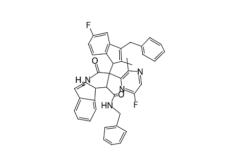 CC1=C(Cc2ccccc2)c2cc(F)ccc2C1C(C(N)=O)(c1nc(F)cnc1C)C(C(=O)NCc1ccccc1)C1C=Cc2ccccc21